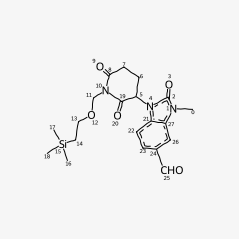 Cn1c(=O)n(C2CCC(=O)N(COCC[Si](C)(C)C)C2=O)c2ccc(C=O)cc21